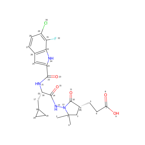 CC1(C)C[C@@H](CCC(=O)O)C(=O)N1NC(=O)[C@H](CC1CC1)NC(=O)c1cc2ccc(Cl)c(F)c2[nH]1